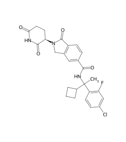 CC(NC(=O)c1ccc2c(c1)CN([C@@H]1CCC(=O)NC1=O)C2=O)(c1ccc(Cl)cc1F)C1CCC1